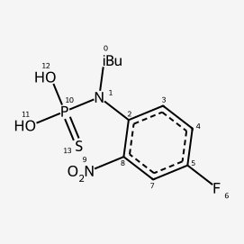 CCC(C)N(c1ccc(F)cc1[N+](=O)[O-])P(O)(O)=S